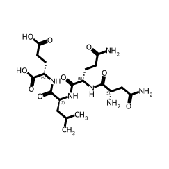 CC(C)C[C@H](NC(=O)[C@H](CCC(N)=O)NC(=O)[C@@H](N)CC(N)=O)C(=O)N[C@@H](CCC(=O)O)C(=O)O